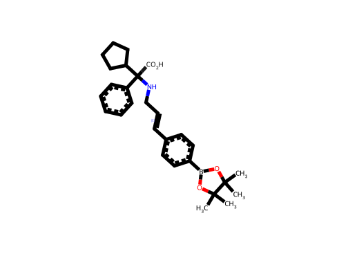 CC1(C)OB(c2ccc(/C=C/CNC(C(=O)O)(c3ccccc3)C3CCCC3)cc2)OC1(C)C